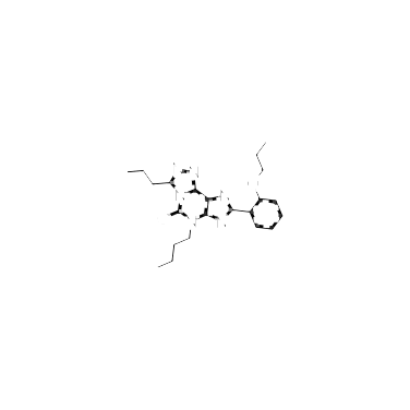 CCCCn1c(=O)n2c(CCC)nnc2c2[nH]c(-c3ccccc3OCCC)nc21